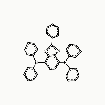 c1ccc(-c2nc3c(N(c4ccccc4)c4ccccc4)ccc(N(c4ccccc4)c4ccccc4)c3s2)cc1